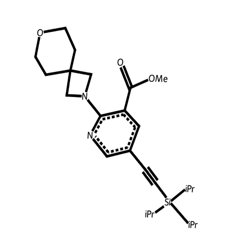 COC(=O)c1cc(C#C[Si](C(C)C)(C(C)C)C(C)C)cnc1N1CC2(CCOCC2)C1